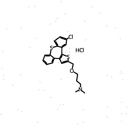 CN(C)CCCOCc1cc2c(s1)-c1cc(Cl)ccc1Sc1ccccc1-2.Cl